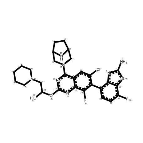 Nc1nc2c(-c3c(Cl)cc4c(N5CC6CCC(C5)N6)nc(OC(CN5CCCCC5)C(F)(F)F)nc4c3F)ccc(F)c2s1